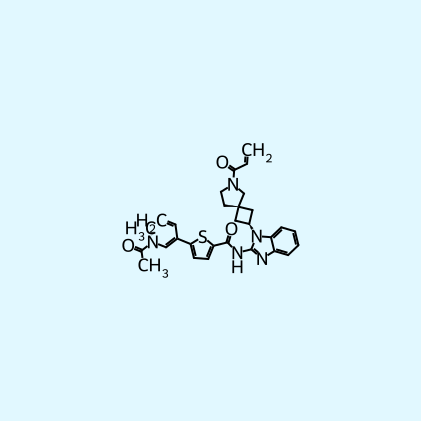 C=CC(=O)N1CC[C@]2(C1)C[C@H](n1c(NC(=O)c3ccc(/C(C=C)=C/N(C)C(C)=O)s3)nc3ccccc31)C2